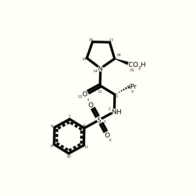 CC(C)[C@H](NS(=O)(=O)c1ccccc1)C(=O)N1CCC[C@H]1C(=O)O